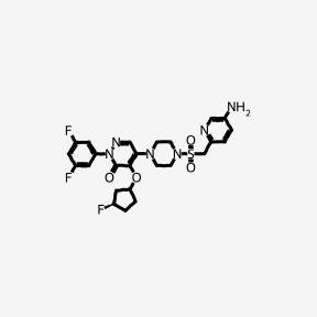 Nc1ccc(CS(=O)(=O)N2CCN(c3cnn(-c4cc(F)cc(F)c4)c(=O)c3OC3CC[C@@H](F)C3)CC2)nc1